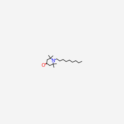 CCCCCCCCCN1C(C)(C)CC(=O)CC1(C)C